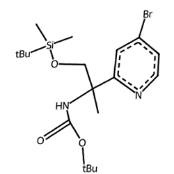 CC(C)(C)OC(=O)NC(C)(CO[Si](C)(C)C(C)(C)C)c1cc(Br)ccn1